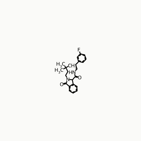 CC(C)(C)CCN1C(=O)c2ccccc2C1C(=O)NCCc1cccc(F)c1